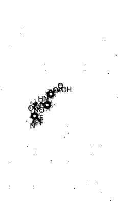 CC1(C)C(=O)N(c2ccc(C#N)c(C(F)(F)F)c2)C(=O)N1Cc1ccccc1Nc1ccc(OCC(=O)O)cc1